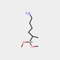 CO[SiH](OC)C(C)CCCCN